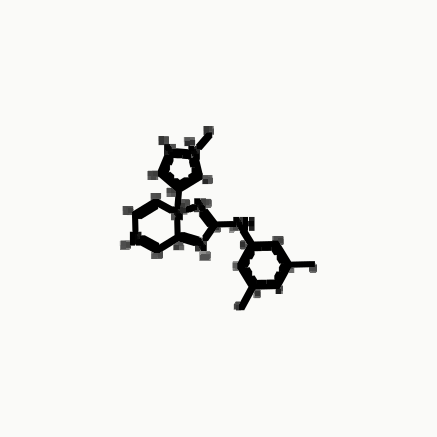 Cc1cc(C)cc(NC2=N[N+]3(c4cnn(C)c4)C=CN=CC3=N2)c1